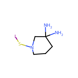 NC1(N)CCCN(SI)C1